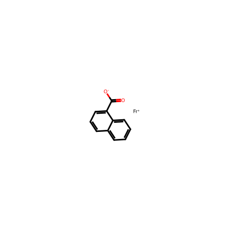 O=C([O-])c1cccc2ccccc12.[Fr+]